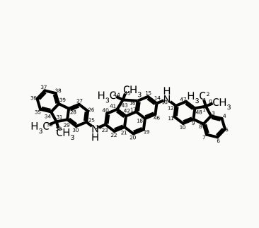 CC1(C)c2ccccc2-c2ccc(Nc3cc4c5c(ccc6cc(Nc7ccc8c(c7)C(C)(C)c7ccccc7-8)cc(c65)C4(C)C)c3)cc21